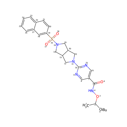 CC(C)COC(C)ONC(=O)c1cnc(N2CC3CN(S(=O)(=O)c4ccc5ccccc5c4)CC3C2)nc1